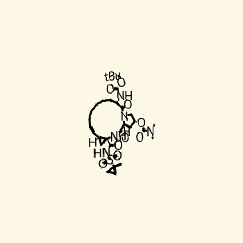 CN(C)C(=O)O[C@@H]1C[C@H]2C(=O)N[C@]3(C(=O)NS(=O)(=O)C4(C)CC4)C[C@H]3/C=C\CCCCC[C@H](NC(=O)OC(C)(C)C)C(=O)N2C1